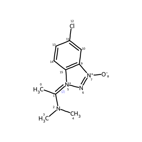 C/C(N(C)C)=[N+]1/N=[N+]([O-])c2cc(Cl)ccc21